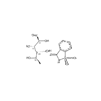 C[C@@H](O)[C@@H](O)[C@H](O)[C@H](O)C=O.O=C1NS(=O)(=O)c2ccccc21